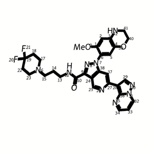 COc1cc2c(cc1-n1nc(C(=O)NCCCN3CCC(F)(F)CC3)c3cnc(-c4cnn5cccnc45)cc31)OCCN2